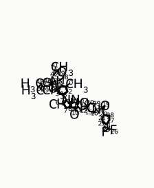 Cc1cc(-n2c(Cl)cc3c(=O)n(CC4(O)CCN(C(=O)c5ccc(C(F)F)cc5)CC4)cnc32)ccc1[C@H]1CO[C@H](C)CN1C(=O)OC(C)(C)C